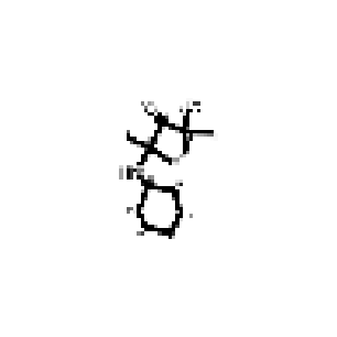 CCC(C)(C)C(=O)C(C)(C)NC1CCCCC1